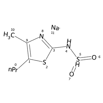 CCCc1sc(N[SH](=O)=O)nc1C.[Na]